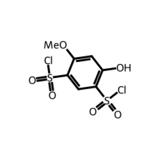 COc1cc(O)c(S(=O)(=O)Cl)cc1S(=O)(=O)Cl